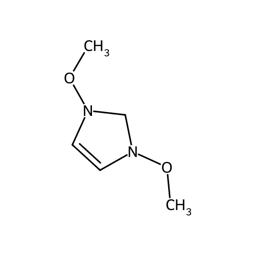 CON1C=CN(OC)C1